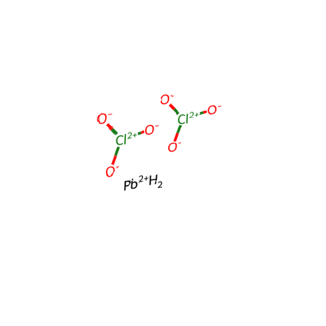 [O-][Cl+2]([O-])[O-].[O-][Cl+2]([O-])[O-].[PbH2+2]